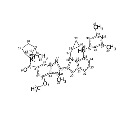 COc1cc(C(=O)N2CC3CCC2[C@@H]3C)cc2nc(-c3cc4cccc(Nc5cc(C)nc(C)c5)c4n3CC3CC3)n(C)c12